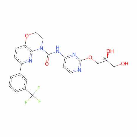 O=C(Nc1ccnc(OC[C@@H](O)CO)n1)N1CCOc2ccc(-c3cccc(C(F)(F)F)c3)nc21